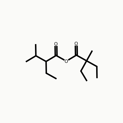 CCC(C(=O)OC(=O)C(C)(CC)CC)C(C)C